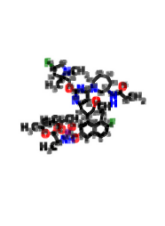 C#Cc1c(F)ccc2cc(OP(=O)(N[C@@H](C)C(=O)OC(C)C)OC(C)C)cc([C@@H]3COc4c(nc(OC[C@]5(C)C[C@@H](F)CN5C)nc4N4CCCCC(NC(=O)C=C)C4)C3)c12